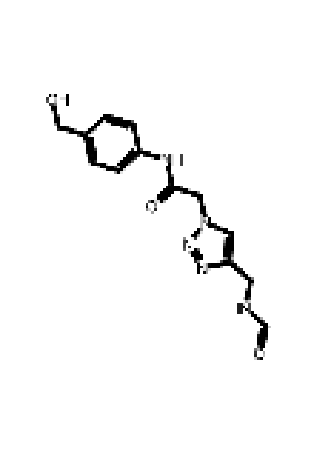 O=CNCc1cn(CC(=O)Nc2ccc(CO)cc2)nn1